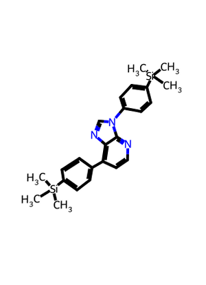 C[Si](C)(C)c1ccc(-c2ccnc3c2ncn3-c2ccc([Si](C)(C)C)cc2)cc1